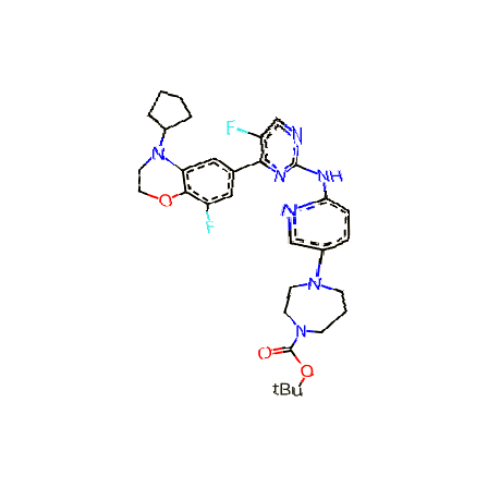 CC(C)(C)OC(=O)N1CCCN(c2ccc(Nc3ncc(F)c(-c4cc(F)c5c(c4)N(C4CCCC4)CCO5)n3)nc2)CC1